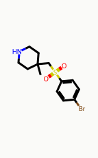 CC1(CS(=O)(=O)c2ccc(Br)cc2)CCNCC1